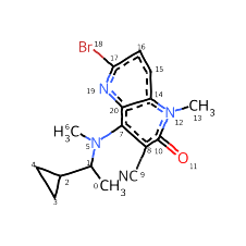 CC(C1CC1)N(C)c1c(C#N)c(=O)n(C)c2ccc(Br)nc12